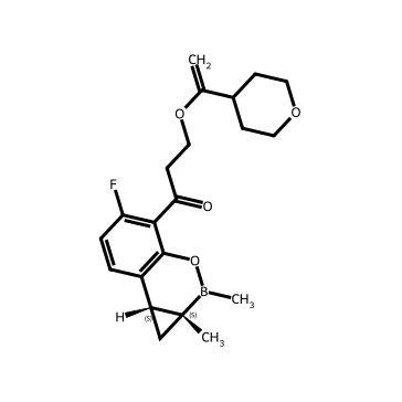 C=C(OCCC(=O)c1c(F)ccc2c1OB(C)[C@]1(C)C[C@H]21)C1CCOCC1